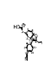 CCc1oc2ccc(CC(=O)O)cc2c1-c1ccc(C#N)cc1